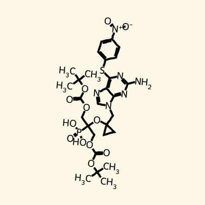 CC(C)(C)OC(=O)OCC(COC(=O)OC(C)(C)C)(OC1(Cn2cnc3c(Sc4ccc([N+](=O)[O-])cc4)nc(N)nc32)CC1)P(=O)(O)O